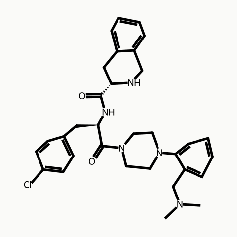 CN(C)Cc1ccccc1N1CCN(C(=O)[C@@H](Cc2ccc(Cl)cc2)NC(=O)[C@@H]2Cc3ccccc3CN2)CC1